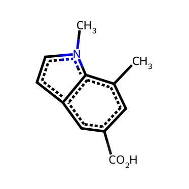 Cc1cc(C(=O)O)cc2ccn(C)c12